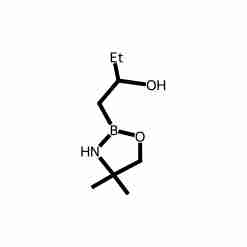 CCC(O)CB1NC(C)(C)CO1